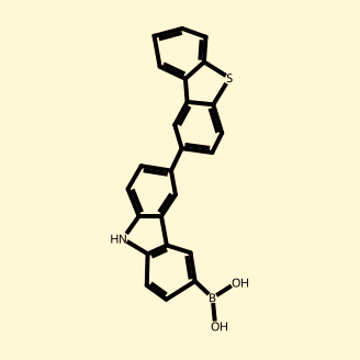 OB(O)c1ccc2[nH]c3ccc(-c4ccc5sc6ccccc6c5c4)cc3c2c1